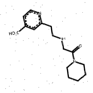 O=C(O)c1ccnc(CCNCC(=O)N2CCCCC2)c1